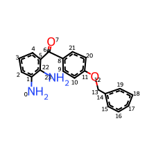 Nc1cccc(C(=O)c2ccc(OCc3ccccc3)cc2)c1N